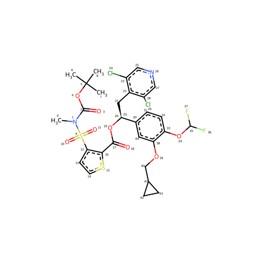 CN(C(=O)OC(C)(C)C)S(=O)(=O)c1ccsc1C(=O)O[C@@H](Cc1c(Cl)cncc1Cl)c1ccc(OC(F)F)c(OCC2CC2)c1